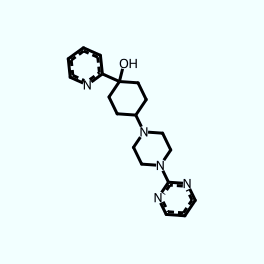 OC1(c2ccccn2)CCC(N2CCN(c3ncccn3)CC2)CC1